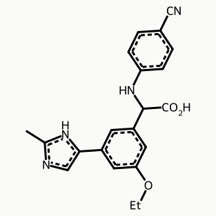 CCOc1cc(-c2cnc(C)[nH]2)cc(C(Nc2ccc(C#N)cc2)C(=O)O)c1